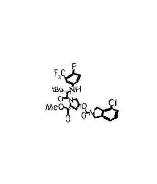 COC(=O)[C@@H]1C[C@@H](OC(=O)N2Cc3cccc(Cl)c3C2)CN1C(=O)[C@@H](Nc1ccc(F)c(C(F)(F)F)c1)C(C)(C)C